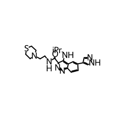 CC(C)Nc1c(C(=O)NCCN2CCSCC2)nnc2ccc(-c3cn[nH]c3)cc12